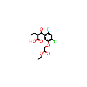 CCOC(=O)COc1cc(C(=O)C(CC)C(=O)O)c(F)cc1Cl